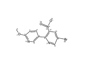 COc1ccc(-c2ncc(Br)cc2[N+](=O)[O-])cn1